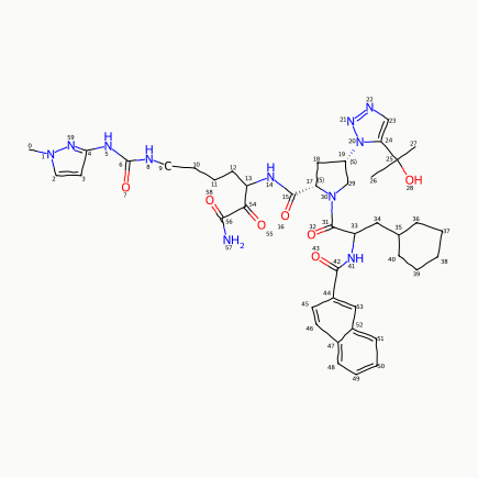 Cn1ccc(NC(=O)NCCCCC(NC(=O)[C@@H]2C[C@H](n3nncc3C(C)(C)O)CN2C(=O)C(CC2CCCCC2)NC(=O)c2ccc3ccccc3c2)C(=O)C(N)=O)n1